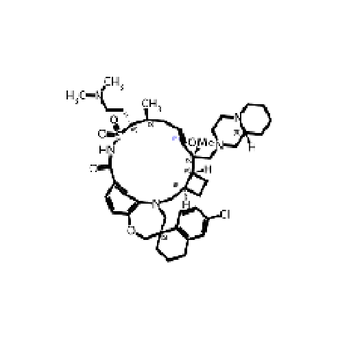 CO[C@]1(CN2CCN3CCCC[C@@H]3C2)/C=C/C[C@H](C)[C@@H](CCN(C)C)S(=O)(=O)NC(=O)c2ccc3c(c2)N(C[C@@H]2CC[C@H]21)C[C@@]1(CCCc2cc(Cl)ccc21)CO3